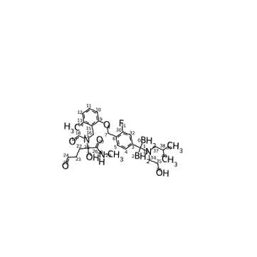 BC(B)(c1ccc(COc2cccc(C)c2CN(C=O)C(O)(CCC=O)C(=O)NC)c(F)c1)N(CCO)CC(C)C